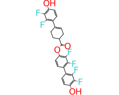 O=C(Oc1ccc(-c2ccc(O)c(F)c2F)c(F)c1F)C1CC=C(c2ccc(O)c(F)c2F)CC1